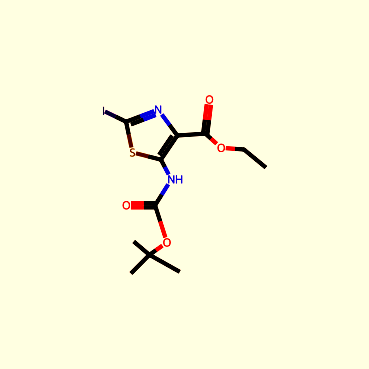 CCOC(=O)c1nc(I)sc1NC(=O)OC(C)(C)C